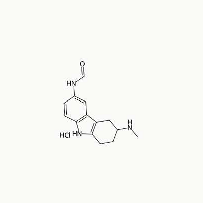 CNC1CCc2[nH]c3ccc(NC=O)cc3c2C1.Cl